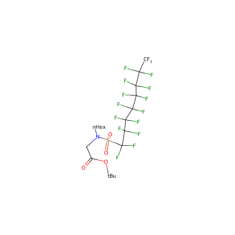 CCCCCCN(CC(=O)OC(C)(C)C)S(=O)(=O)C(F)(F)C(F)(F)C(F)(F)C(F)(F)C(F)(F)C(F)(F)C(F)(F)C(F)(F)F